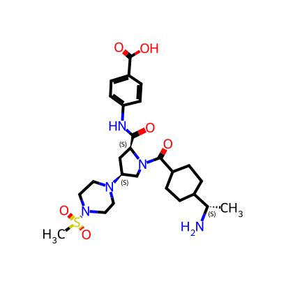 C[C@H](N)C1CCC(C(=O)N2C[C@@H](N3CCN(S(C)(=O)=O)CC3)C[C@H]2C(=O)Nc2ccc(C(=O)O)cc2)CC1